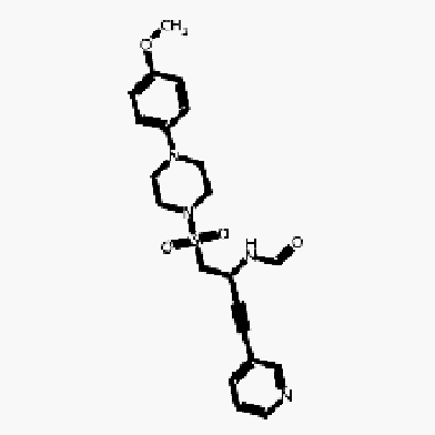 COc1ccc(N2CCN(S(=O)(=O)CC(C#Cc3cccnc3)NC=O)CC2)cc1